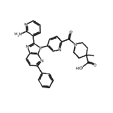 CC1(C(=O)O)CCN(C(=O)c2ccc(-n3c(-c4cccnc4N)nc4ccc(-c5ccccc5)nc43)cn2)CC1